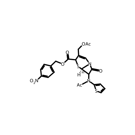 CC(=O)OCC1=CN2C(=O)C(N(C(C)=O)c3cccs3)[C@H]2SC1C(=O)OCc1ccc([N+](=O)[O-])cc1